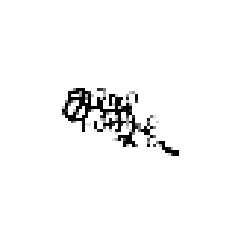 C=CCOC(=O)[C@@H]1N2C(=O)[C@@](Br)(C(O)C(=O)C34CC5CC(CC(C5)C3)C4)[C@H]2SC1(C)C